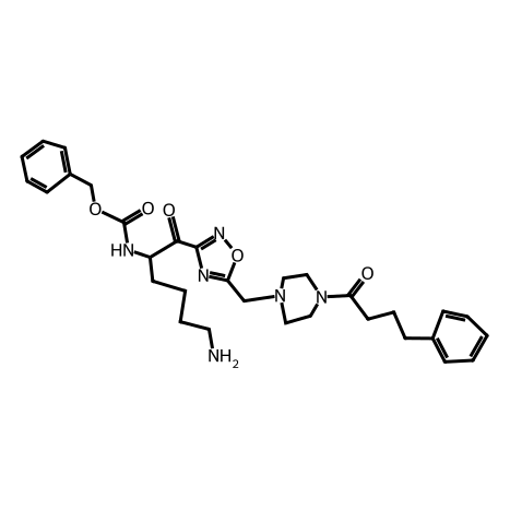 NCCCCC(NC(=O)OCc1ccccc1)C(=O)c1noc(CN2CCN(C(=O)CCCc3ccccc3)CC2)n1